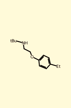 CCc1ccc(OCCNC(C)(C)C)cc1